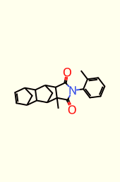 Cc1ccccc1N1C(=O)C2C3CC(C4C5C=CC(C5)C34)C2(C)C1=O